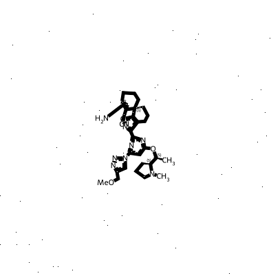 COCc1cn(-c2cc(O[C@@H](C)[C@@H]3CCCN3C)nc(-c3noc4c3CCC[C@@]43CCCc4sc(N)c(C#N)c43)n2)nn1